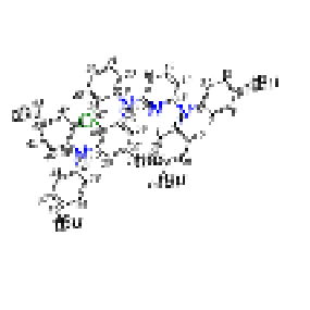 CC(C)(C)c1ccc(N(c2ccc(C(C)(C)C)cc2)c2cccc(N(c3ccccc3)c3cc(C(C)(C)C)cc(N(c4ccc(C(C)(C)C)cc4)c4ccc(C(C)(C)C)cc4)c3Cl)n2)cc1